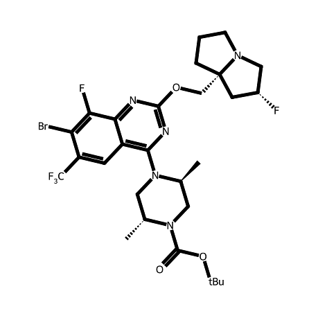 C[C@@H]1CN(c2nc(OC[C@]34CCCN3C[C@H](F)C4)nc3c(F)c(Br)c(C(F)(F)F)cc23)[C@@H](C)CN1C(=O)OC(C)(C)C